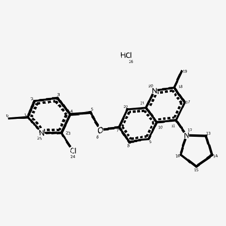 Cc1ccc(COc2ccc3c(N4CCCC4)cc(C)nc3c2)c(Cl)n1.Cl